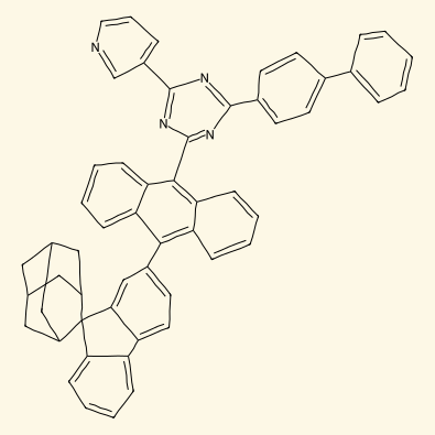 c1ccc(-c2ccc(-c3nc(-c4cccnc4)nc(-c4c5ccccc5c(-c5ccc6c(c5)C5(c7ccccc7-6)C6CC7CC(C6)CC5C7)c5ccccc45)n3)cc2)cc1